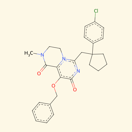 CN1CCn2c(CC3(c4ccc(Cl)cc4)CCCC3)nc(=O)c(OCc3ccccc3)c2C1=O